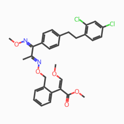 CO/C=C(/C(=O)OC)c1ccccc1CO/N=C(C)/C(=N\OC)c1ccc(CCc2ccc(Cl)cc2Cl)cc1